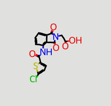 O=C(O)CN1C(=O)c2cccc(NC(=O)c3ccc(Cl)s3)c2C1=O